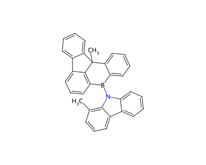 Cc1cccc2c3ccccc3n(B3c4ccccc4C4(C)c5ccccc5-c5cccc3c54)c12